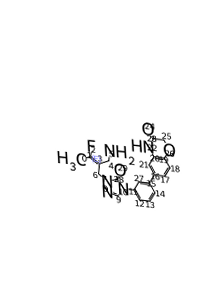 C/C(F)=C(/CN)Cn1ncn(-c2cccc(-c3ccc4c(c3)NC(=O)CO4)c2)c1=O